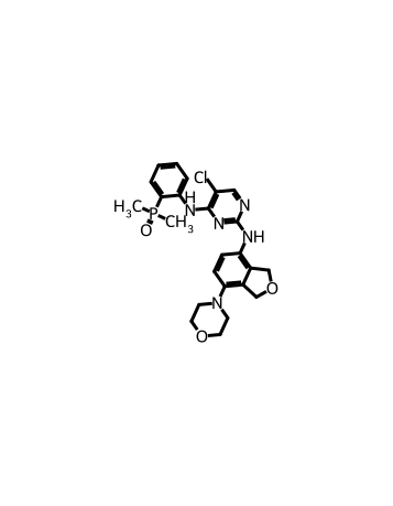 CP(C)(=O)c1ccccc1Nc1nc(Nc2ccc(N3CCOCC3)c3c2COC3)ncc1Cl